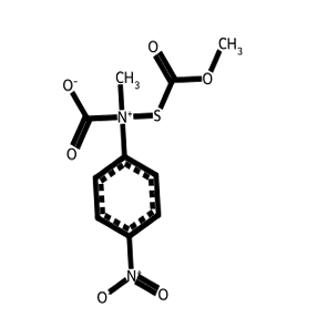 COC(=O)S[N+](C)(C(=O)[O-])c1ccc([N+](=O)[O-])cc1